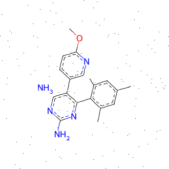 COc1ccc(-c2cnc(N)nc2-c2c(C)cc(C)cc2C)cn1.N